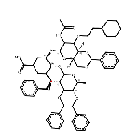 C=CC1CC(C(=O)O)C[C@@H](O[C@@H]2O[C@H]3COC(c4ccccc4)O[C@@H]3C(OCCC3CCCCC3)C2NC(C)=O)[C@@H]1OC1O[C@@H](C)[C@H](OCc2ccccc2)C(OCc2ccccc2)[C@@H]1OCc1ccccc1